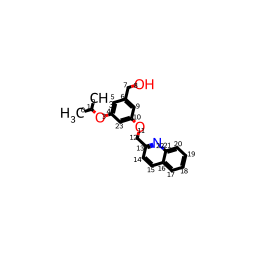 CC(C)Oc1cc(CO)cc(OCc2ccc3ccccc3n2)c1